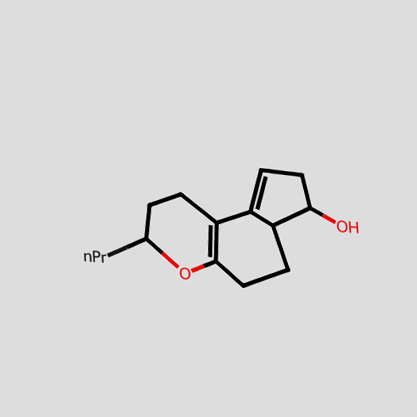 CCCC1CCC2=C(CCC3C2=CCC3O)O1